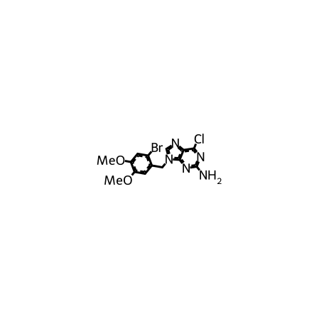 COc1cc(Br)c(Cn2cnc3c(Cl)nc(N)nc32)cc1OC